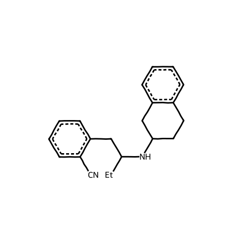 CCC(Cc1ccccc1C#N)NC1CCc2ccccc2C1